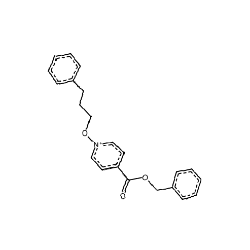 O=C(OCc1ccccc1)c1cc[n+](OCCCc2ccccc2)cc1